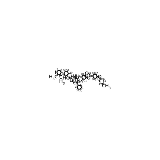 Cc1nccc(-c2ccc(C[C@H](NC(=O)C3Cc4cc5c(cc4CN3C(=O)c3ccccc3)O[C@@H](c3ccc(O[C@H]4CC[C@@H](C)CC4)cc3)CO5)C(=O)O)cc2)c1C